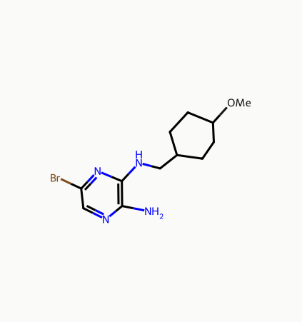 COC1CCC(CNc2nc(Br)cnc2N)CC1